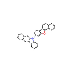 c1ccc2cc3c(cc2c1)c1ccccc1n3-c1ccc2c(c1)oc1c3ccccc3ccc21